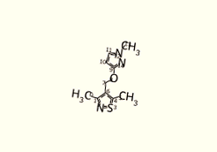 Cc1nsc(C)c1COc1ccn(C)n1